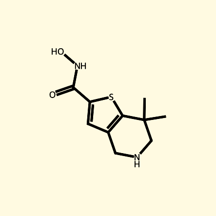 CC1(C)CNCc2cc(C(=O)NO)sc21